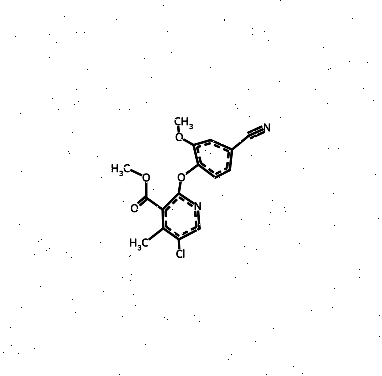 COC(=O)c1c(Oc2ccc(C#N)cc2OC)ncc(Cl)c1C